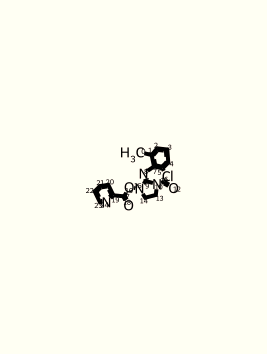 Cc1cccc(Cl)c1N=C1N(C=O)CCN1OC(=O)c1ccccn1